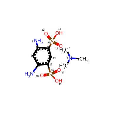 CN(C)C.Nc1cc(N)c(S(=O)(=O)O)cc1S(=O)(=O)O